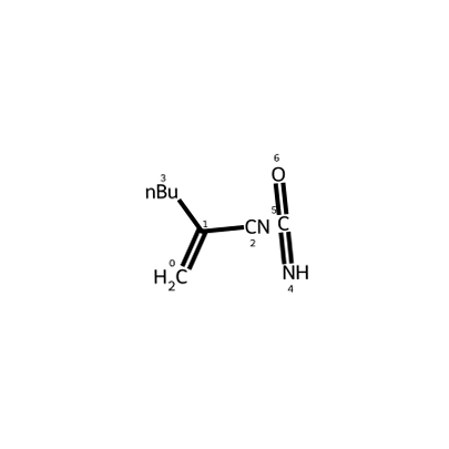 C=C(C#N)CCCC.N=C=O